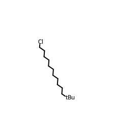 CC(C)(C)CCCCCCCCCCCCl